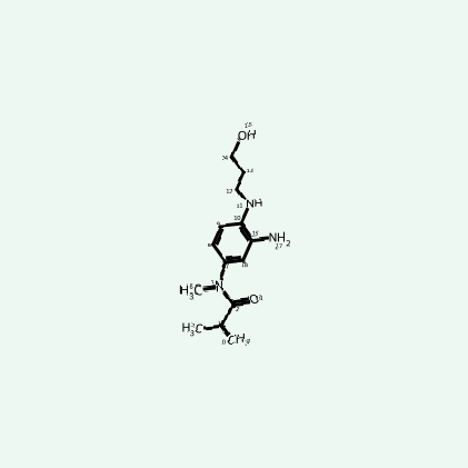 CC(C)C(=O)N(C)c1ccc(NCCCO)c(N)c1